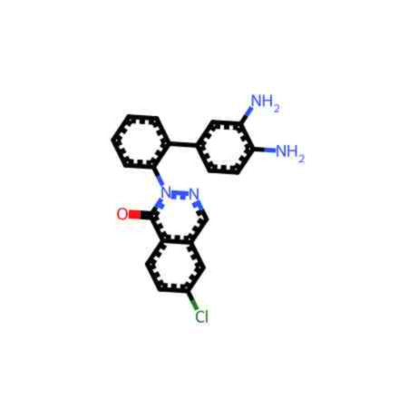 Nc1ccc(-c2ccccc2-n2ncc3cc(Cl)ccc3c2=O)cc1N